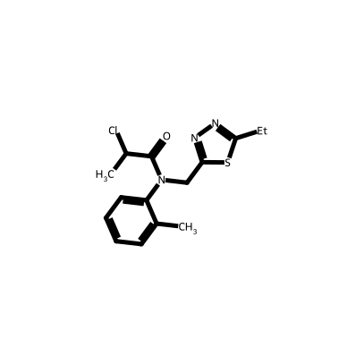 CCc1nnc(CN(C(=O)C(C)Cl)c2ccccc2C)s1